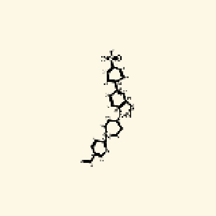 C=Cc1ccc(N2CCC(n3nnc4cc(-c5ccc(S(C)(=O)=O)cc5)ccc43)CC2)nc1